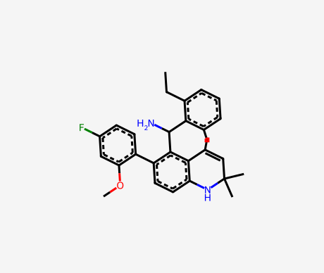 CCc1cccc(C)c1C(N)c1c(-c2ccc(F)cc2OC)ccc2c1C(C)=CC(C)(C)N2